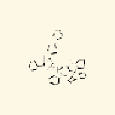 c1ccc(-c2ccc(-c3nc(-c4ccccc4)nc(-n4c5ccccc5c5cc6c(cc54)Sc4ccccc4C64c5ccccc5-c5ccccc54)n3)cc2)cc1